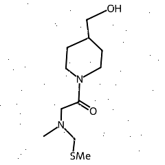 CSCN(C)CC(=O)N1CCC(CO)CC1